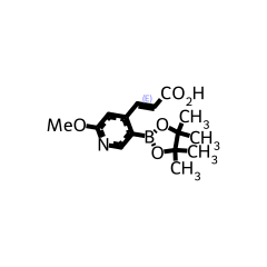 COc1cc(/C=C/C(=O)O)c(B2OC(C)(C)C(C)(C)O2)cn1